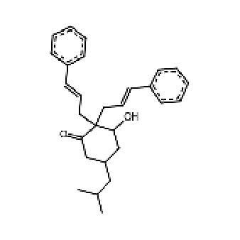 CC(C)CC1CC(=O)C(CC=Cc2ccccc2)(CC=Cc2ccccc2)C(O)C1